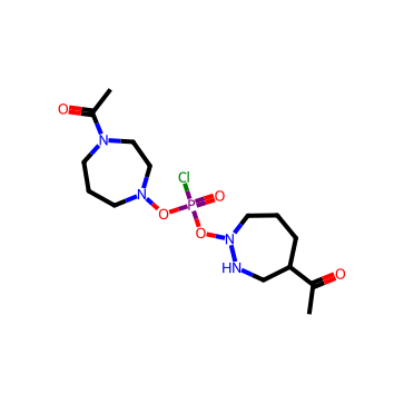 CC(=O)C1CCCN(OP(=O)(Cl)ON2CCCN(C(C)=O)CC2)NC1